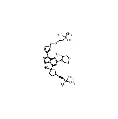 C[C@@H]1COCCN1c1cc(C2(O)CCC(C#C[Si](C)(C)C)C2)c2cnn(-c3ccn(COCC[Si](C)(C)C)n3)c2n1